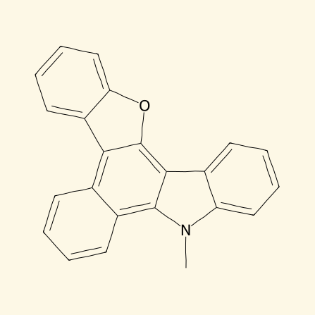 Cn1c2ccccc2c2c3oc4ccccc4c3c3ccccc3c21